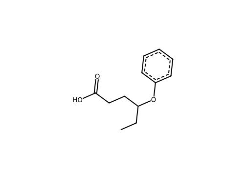 CCC(CCC(=O)O)Oc1ccccc1